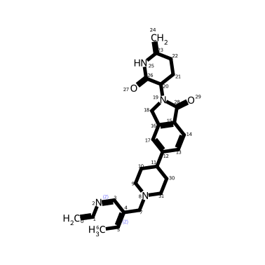 C=C/N=C\C(=C/C)CN1CCC(c2ccc3c(c2)CN(C2CCC(=C)NC2=O)C3=O)CC1